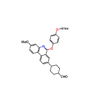 CCCCCCOc1ccc(Oc2nc3cc(OC)ccc3c3ccc(C4CCC(C=O)CC4)cc23)cc1